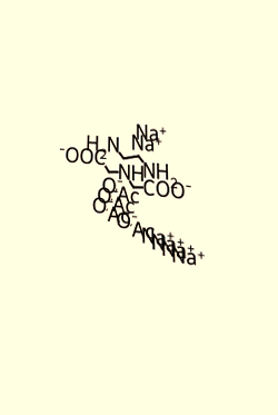 CC(=O)[O-].CC(=O)[O-].CC(=O)[O-].CC(=O)[O-].NCCN.O=C([O-])CNCC(=O)[O-].[Na+].[Na+].[Na+].[Na+].[Na+].[Na+]